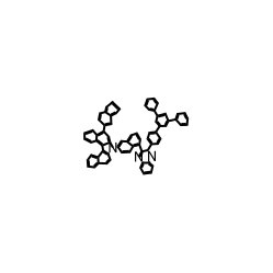 c1ccc(-c2cc(-c3ccccc3)cc(-c3ccc(-c4nc5ccccc5nc4-c4cccc5cc(-n6c7ccc8ccccc8c7c7c8ccccc8c(-c8ccc9ccccc9c8)cc76)ccc45)cc3)c2)cc1